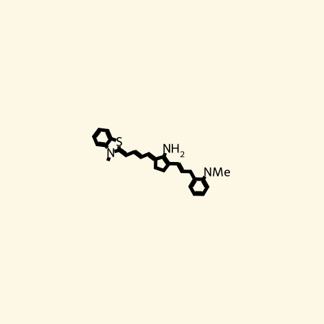 CNc1ccccc1C/C=C/C1=C(N)C(=C/C=C/C=C2\Sc3ccccc3N2C)/CC1